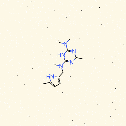 Cc1ccc(CN(C)C2=NC(C)N=C(N(C)C)N2)[nH]1